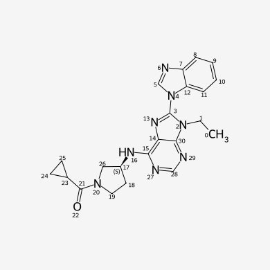 CCn1c(-n2cnc3ccccc32)nc2c(N[C@H]3CCN(C(=O)C4CC4)C3)ncnc21